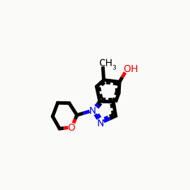 Cc1cc2c(cnn2C2CCCCO2)cc1O